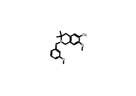 COc1cccc(CN2Cc3cc(OC)c(O)cc3CC2(C)C)c1